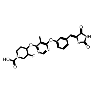 Cc1c(Oc2cccc(/C=C3\SC(=O)NC3=O)c2)ncnc1OC1CCN(C(=O)O)CC1F